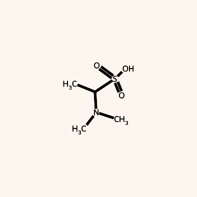 CC(N(C)C)S(=O)(=O)O